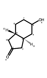 O=C1C[C@@H]2CC(O)CC[C@H]2C1